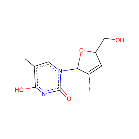 Cc1cn(C2OC(CO)C=C2F)c(=O)nc1O